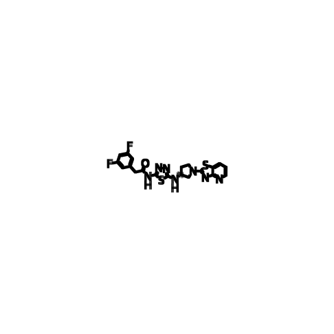 O=C(Cc1cc(F)cc(F)c1)Nc1nnc(N[C@@H]2CCN(c3nc4ncccc4s3)C2)s1